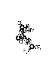 Cc1cc(Cl)cc(C(=O)NC(C)C)c1NC(=O)c1cc(N2CCN(c3cc(C(F)(F)F)cc(C(F)(F)F)c3)C2=O)nn1-c1ncccc1Cl